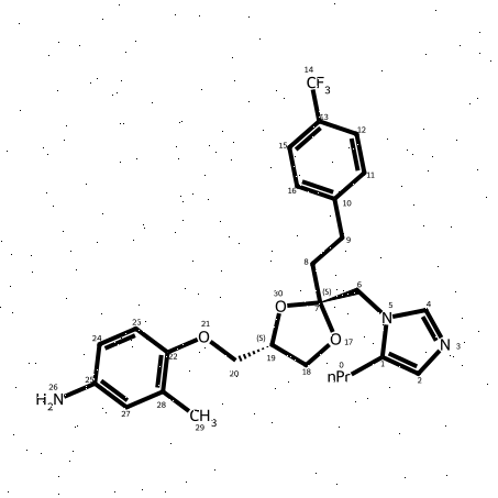 CCCc1cncn1C[C@@]1(CCc2ccc(C(F)(F)F)cc2)OC[C@H](COc2ccc(N)cc2C)O1